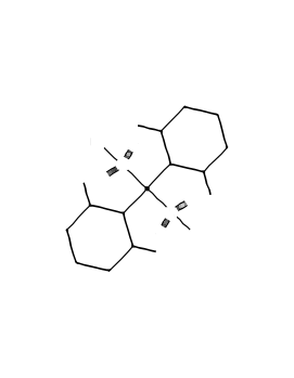 CC1CCCC(C)C1C(C1C(C)CCCC1C)(S(=O)(=O)O)S(=O)(=O)O